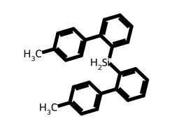 Cc1ccc(-c2ccccc2[SiH2]c2ccccc2-c2ccc(C)cc2)cc1